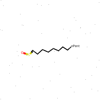 CCCCCCCCCCCCC=S=O